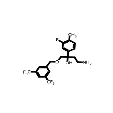 Cc1ccc(C(O)(CCN)COCc2cc(C(F)(F)F)cc(C(F)(F)F)c2)cc1F